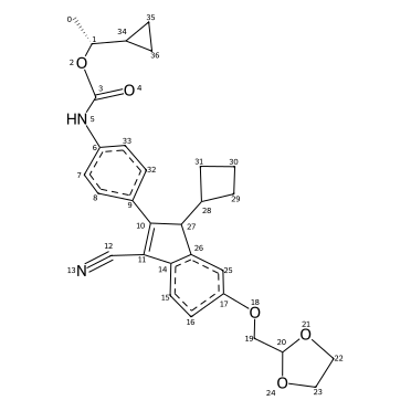 C[C@@H](OC(=O)Nc1ccc(C2=C(C#N)c3ccc(OCC4OCCO4)cc3C2C2CCC2)cc1)C1CC1